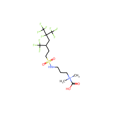 C[N+](C)(CCCNS(=O)(=O)CCC(CC(F)(C(F)(F)F)C(F)(F)F)C(F)(F)F)C(=O)O